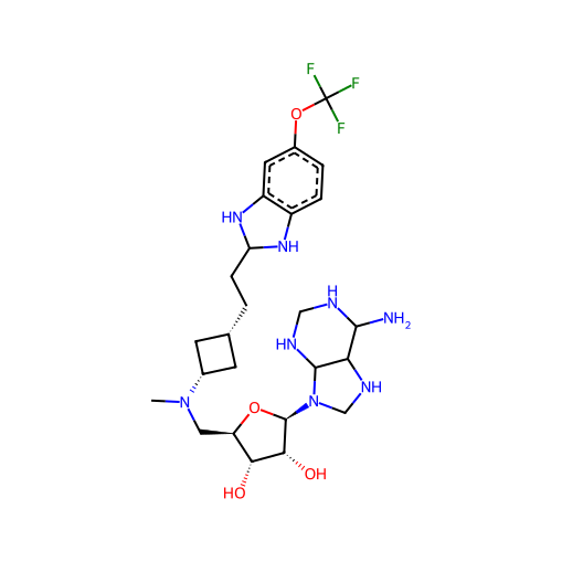 CN(C[C@H]1O[C@@H](N2CNC3C(N)NCNC32)[C@H](O)[C@@H]1O)[C@H]1C[C@@H](CCC2Nc3ccc(OC(F)(F)F)cc3N2)C1